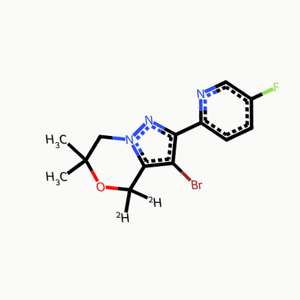 [2H]C1([2H])OC(C)(C)Cn2nc(-c3ccc(F)cn3)c(Br)c21